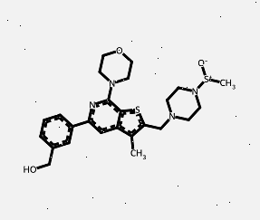 Cc1c(CN2CCN([S+](C)[O-])CC2)sc2c(N3CCOCC3)nc(-c3cccc(CO)c3)cc12